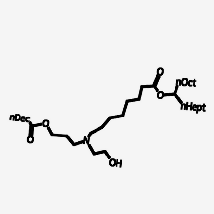 CCCCCCCCCCC(=O)OCCCN(CCO)CCCCCCCC(=O)OC(CCCCCCC)CCCCCCCC